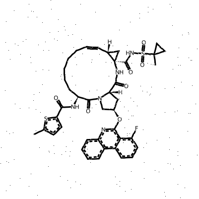 Cc1ccc(C(=O)N[C@H]2CCCCC/C=C\[C@@H]3C[C@@]3(C(=O)NS(=O)(=O)C3(C)CC3)NC(=O)[C@@H]3C[C@@H](Oc4nc5ccccc5c5cccc(F)c45)CN3C2=O)s1